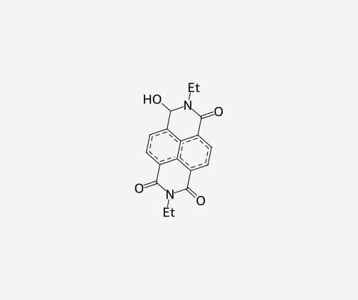 CCN1C(=O)c2ccc3c4c(ccc(c24)C1=O)C(O)N(CC)C3=O